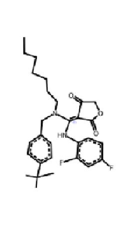 CCCCCCCN(Cc1ccc(C(C)(C)C)cc1)/C(Nc1ccc(F)cc1F)=C1\C(=O)COC1=O